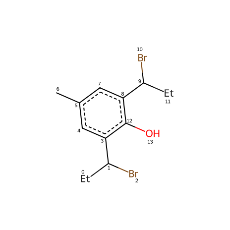 CCC(Br)c1cc(C)cc(C(Br)CC)c1O